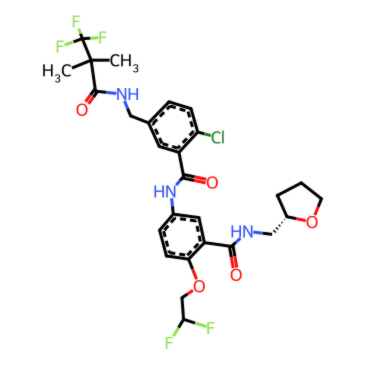 CC(C)(C(=O)NCc1ccc(Cl)c(C(=O)Nc2ccc(OCC(F)F)c(C(=O)NC[C@@H]3CCCO3)c2)c1)C(F)(F)F